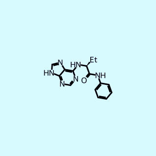 CC[C@H](Nc1ncnc2[nH]cnc12)C(=O)Nc1ccccc1